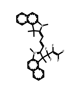 CN1/C(=C/C=C/C2=[N+](C)c3ccc4ccccc4c3C2(C)C(F)(F)C(F)=C(F)F)C(C)(C)c2c1ccc1ccccc21